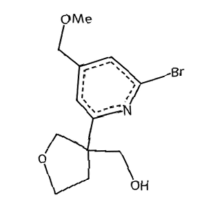 COCc1cc(Br)nc(C2(CO)CCOC2)c1